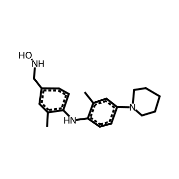 Cc1cc(CNO)ccc1Nc1ccc(N2CCCCC2)cc1C